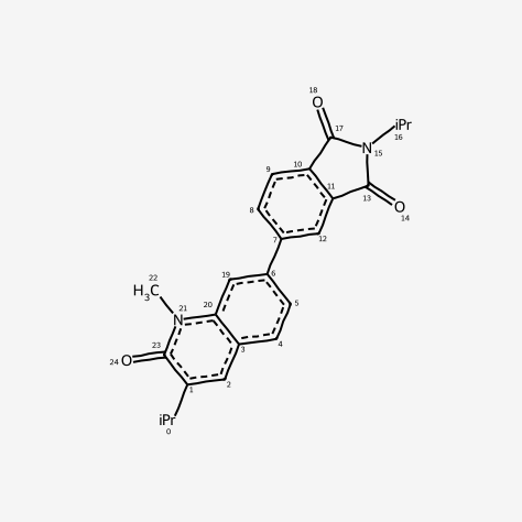 CC(C)c1cc2ccc(-c3ccc4c(c3)C(=O)N(C(C)C)C4=O)cc2n(C)c1=O